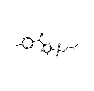 COCCS(=O)(=O)c1nc(C(S)c2ccc(C)cc2)ns1